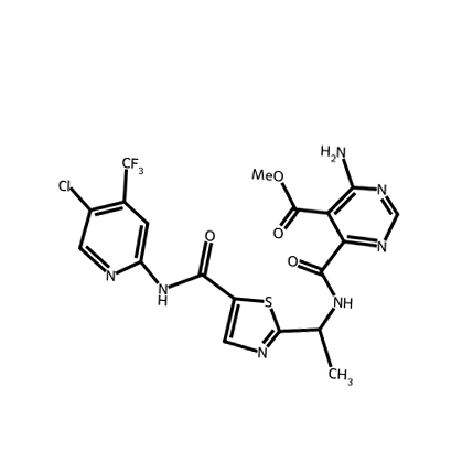 COC(=O)c1c(N)ncnc1C(=O)NC(C)c1ncc(C(=O)Nc2cc(C(F)(F)F)c(Cl)cn2)s1